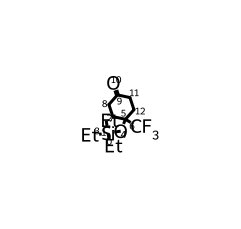 CC[Si](CC)(CC)OC1(C(F)(F)F)CCC(=O)CC1